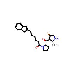 O=C[C@H]1NCC(=S)C1C(=O)[C@@H]1CCCN1C(=O)CCCCCC1=Cc2ccccc2C1